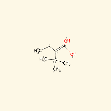 CCC(=C(O)O)[Si](C)(C)C